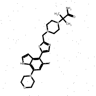 CC(C)(C(N)=O)N1CCN(Cc2ncc(-c3c(F)cc(N4CCOCC4)c4[nH]ccc34)s2)CC1